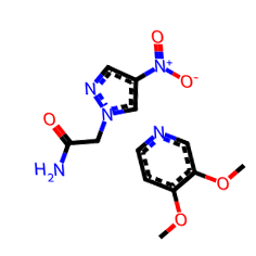 COc1ccncc1OC.NC(=O)Cn1cc([N+](=O)[O-])cn1